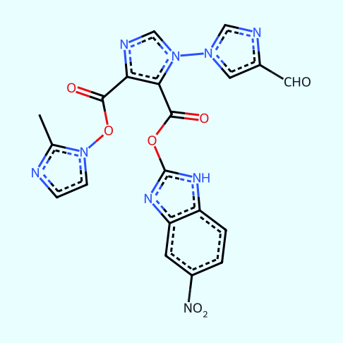 Cc1nccn1OC(=O)c1ncn(-n2cnc(C=O)c2)c1C(=O)Oc1nc2cc([N+](=O)[O-])ccc2[nH]1